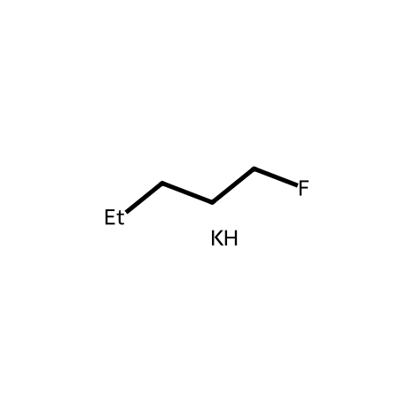 CCCCCF.[KH]